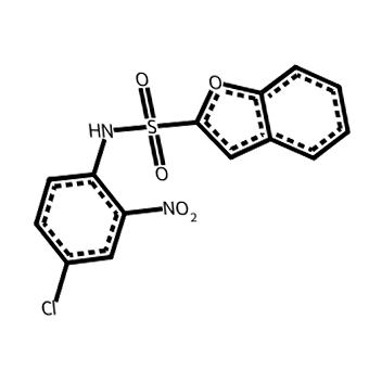 O=[N+]([O-])c1cc(Cl)ccc1NS(=O)(=O)c1cc2ccccc2o1